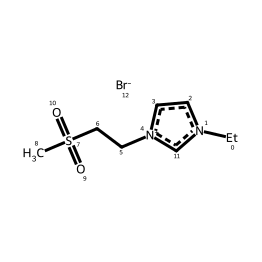 CCn1cc[n+](CCS(C)(=O)=O)c1.[Br-]